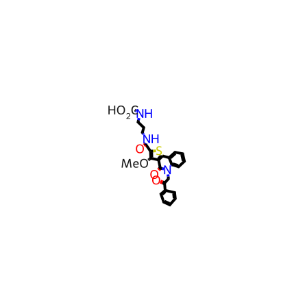 COc1c(C(=O)NCCCNC(=O)O)sc2c1c(=O)n(CC(=O)c1ccccc1)c1ccccc21